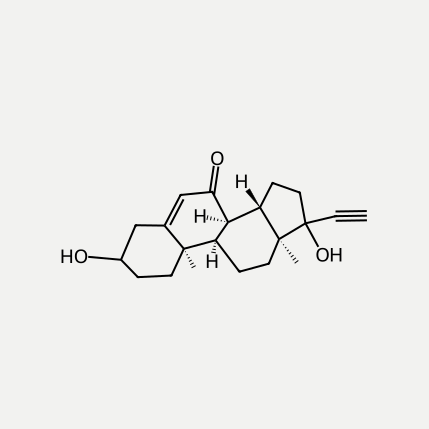 C#CC1(O)CC[C@H]2[C@@H]3C(=O)C=C4CC(O)CC[C@]4(C)[C@@H]3CC[C@@]21C